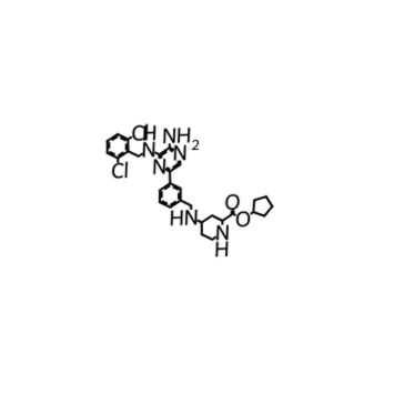 Nc1ncc(-c2cccc(CNC3CCNC(C(=O)OC4CCCC4)C3)c2)nc1NCc1c(Cl)cccc1Cl